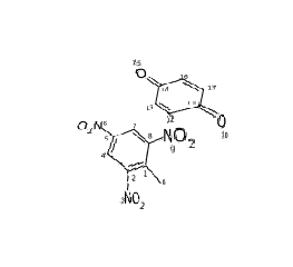 Cc1c([N+](=O)[O-])cc([N+](=O)[O-])cc1[N+](=O)[O-].O=C1C=CC(=O)C=C1